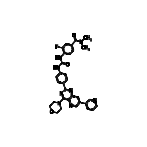 CN(C)C(=O)c1ccc(NC(=O)Nc2ccc(-c3nc(N4CCOCC4)c4ncc(-c5cccnc5)cc4n3)cc2)c(F)c1